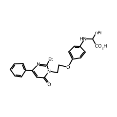 CCCC(Nc1ccc(OCCn2c(CC)nc(-c3ccccc3)cc2=O)cc1)C(=O)O